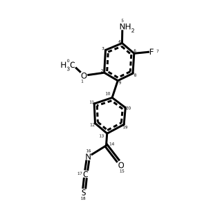 COc1cc(N)c(F)cc1-c1ccc(C(=O)N=C=S)cc1